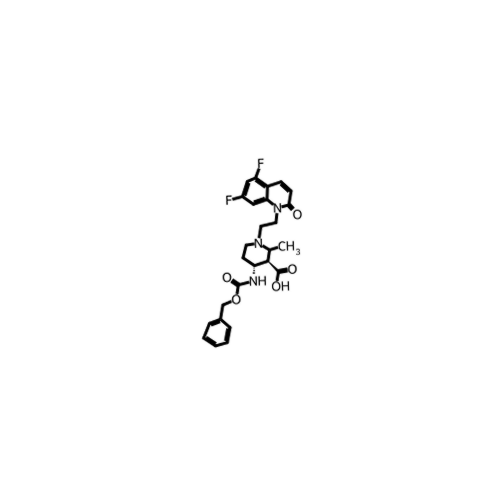 CC1[C@@H](C(=O)O)[C@H](NC(=O)OCc2ccccc2)CCN1CCn1c(=O)ccc2c(F)cc(F)cc21